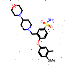 CSc1ccc(Oc2ccc(S(N)(=O)=O)cc2CN2CCC(N3CCOCC3)CC2)cc1C